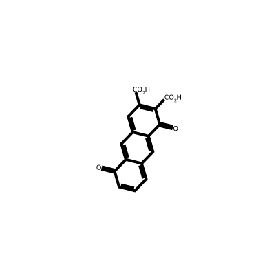 O=C(O)C1=C(C(=O)O)C(=O)c2cc3c(cc2=C1)C(=O)C=CC=3